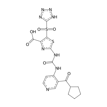 O=C(Nc1nc(C(=O)O)c(S(=O)(=O)c2nnn[nH]2)s1)Nc1ccncc1C(=O)C1CCCC1